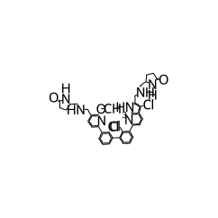 COc1nc(-c2cccc(-c3cccc(-c4ccc5c(Cl)c(CNCC6CCC(=O)N6)[nH]c5n4)c3Cl)c2Cl)ccc1CNCC1CCC(=O)N1